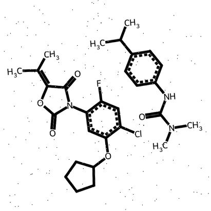 CC(C)=C1OC(=O)N(c2cc(OC3CCCC3)c(Cl)cc2F)C1=O.CC(C)c1ccc(NC(=O)N(C)C)cc1